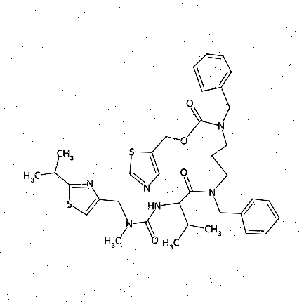 CC(C)c1nc(CN(C)C(=O)NC(C(=O)N(CCCN(Cc2ccccc2)C(=O)OCc2cncs2)Cc2ccccc2)C(C)C)cs1